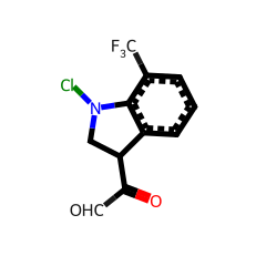 O=CC(=O)C1CN(Cl)c2c1cccc2C(F)(F)F